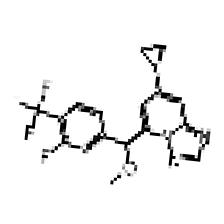 COC(c1ccc(C(F)(F)F)c(F)c1)c1cc(C2CC2)cc2ncnn12